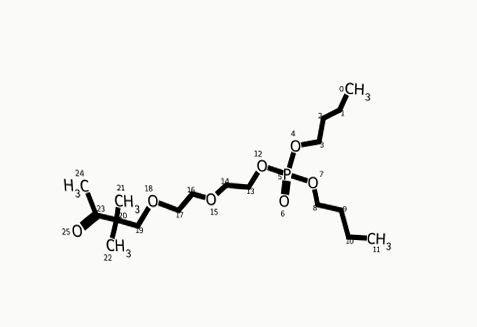 CCCCOP(=O)(OCCCC)OCCOCCOCC(C)(C)C(C)=O